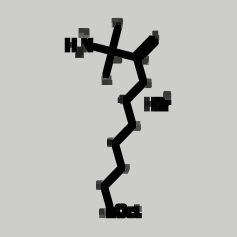 Br.C=C(CCCCCCCCCCCCCC)C(C)(C)N